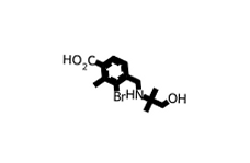 Cc1c(C(=O)O)ccc(CNC(C)(C)CO)c1Br